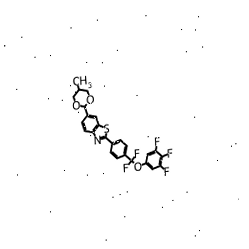 CC1COC(c2ccc3nc(-c4ccc(C(F)(F)Oc5cc(F)c(F)c(F)c5)cc4)sc3c2)OC1